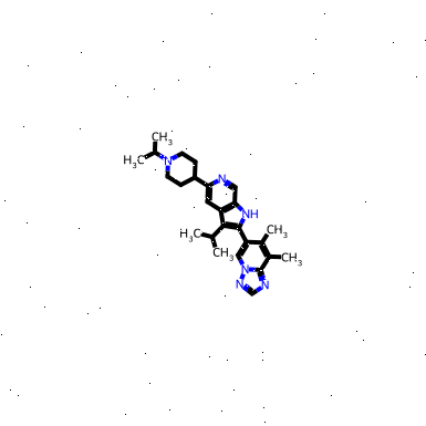 Cc1c(-c2[nH]c3cnc(C4CCN(C(C)C)CC4)cc3c2C(C)C)cn2ncnc2c1C